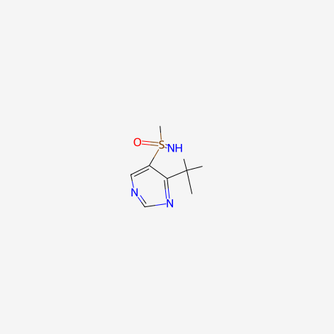 CC(C)(C)c1ncncc1S(C)(=N)=O